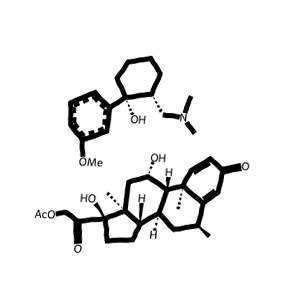 CC(=O)OCC(=O)[C@@]1(O)CC[C@H]2[C@@H]3C[C@H](C)C4=CC(=O)C=C[C@]4(C)[C@H]3[C@@H](O)C[C@@]21C.COc1cccc([C@@]2(O)CCCC[C@@H]2CN(C)C)c1